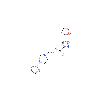 O=C(NCCN1CCN(c2ccccn2)CC1)c1cc(-c2ccco2)on1